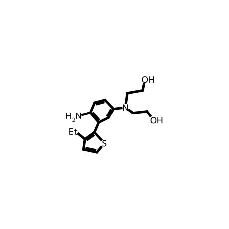 CCc1ccsc1-c1cc(N(CCO)CCO)ccc1N